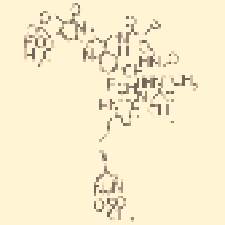 CC[C@@]1(O)C(=O)OCc2c1cc1n(c2=O)Cc2c-1nc1cc(F)c(C)cc1c2CNC(=O)[C@H](OCNC(=O)[C@H](C)NC(=O)[C@H](C)NC(=O)[C@H](C)NC(=O)CCCC#Cc1cnc(S(C)(=O)=O)nc1)C1CC1